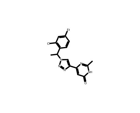 CCc1ccc(C(C)n2cc(-c3cc(=O)[nH]c(C)n3)nn2)c(Cl)c1